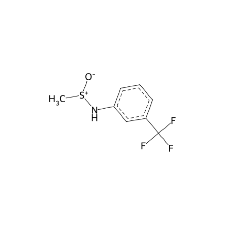 C[S+]([O-])Nc1cccc(C(F)(F)F)c1